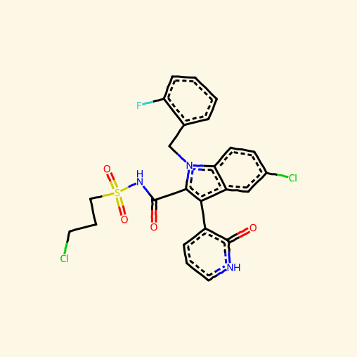 O=C(NS(=O)(=O)CCCCl)c1c(-c2ccc[nH]c2=O)c2cc(Cl)ccc2n1Cc1ccccc1F